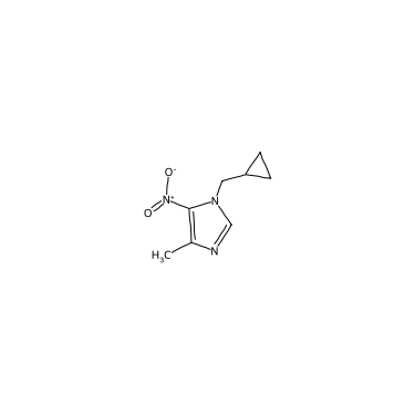 Cc1ncn(CC2CC2)c1[N+](=O)[O-]